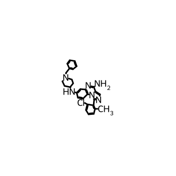 Cc1cccc(Cl)c1-c1ncc2c(N)nc3cc(NC4CCN(Cc5ccccc5)CC4)ccc3n12